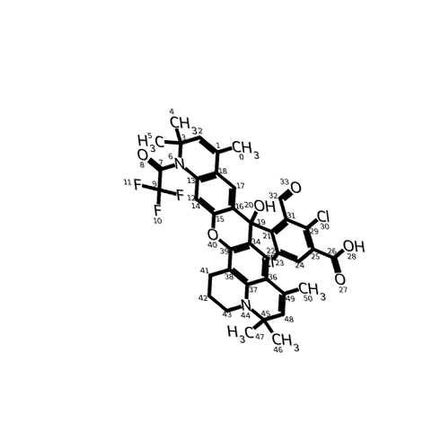 CC1=CC(C)(C)N(C(=O)C(F)(F)F)c2cc3c(cc21)C(O)(c1c(Cl)cc(C(=O)O)c(Cl)c1C=O)c1cc2c4c(c1O3)CCCN4C(C)(C)C=C2C